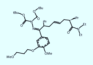 CCN(CC)C(=O)[C@@H](CC=CCC(C(=NN(C(=O)OC(C)(C)C)C(=O)OC(C)(C)C)c1ccc(OC)c(OCCCOC)c1)C(C)C)C(C)C